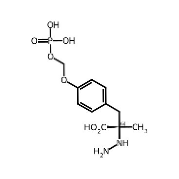 C[C@@](Cc1ccc(OCOP(=O)(O)O)cc1)(NN)C(=O)O